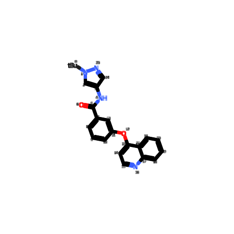 CC(C)(C)n1cc(NC(=O)c2cccc(Oc3ccnc4ccccc34)c2)cn1